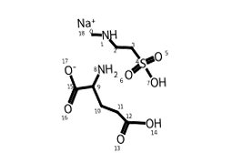 CNCCS(=O)(=O)O.NC(CCC(=O)O)C(=O)[O-].[Na+]